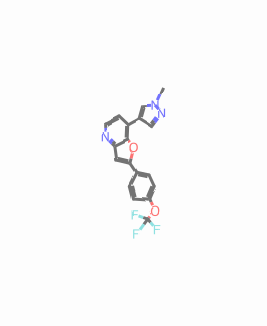 Cn1cc(-c2ccnc3cc(-c4ccc(OC(F)(F)F)cc4)oc23)cn1